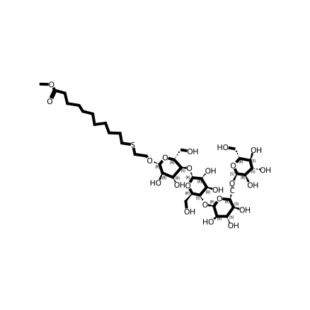 COC(=O)CCCCCCCCCCSCCO[C@@H]1O[C@H](CO)[C@@H](O[C@H]2O[C@H](CO)[C@@H](O[C@H]3O[C@H](CO[C@H]4O[C@H](CO)[C@@H](O)[C@H](O)[C@H]4O)[C@@H](O)[C@H](O)[C@H]3O)[C@H](O)[C@H]2O)[C@H](O)[C@H]1O